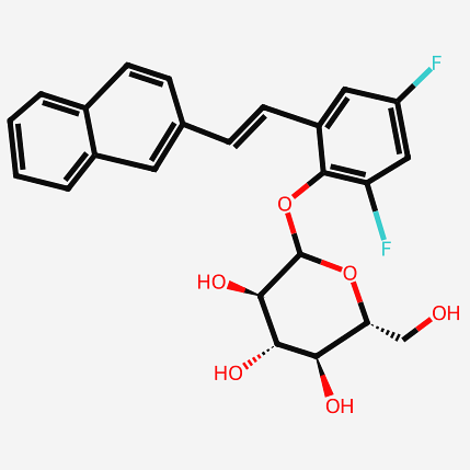 OC[C@H]1OC(Oc2c(F)cc(F)cc2/C=C/c2ccc3ccccc3c2)[C@H](O)[C@@H](O)[C@@H]1O